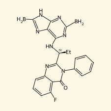 Bc1nc(N[C@@H](CC)c2nc3cccc(F)c3c(=O)n2-c2ccccc2)c2nc(B)[nH]c2n1